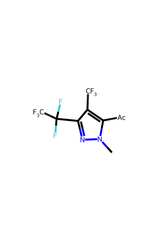 CC(=O)c1c(C(F)(F)F)c(C(F)(F)C(F)(F)F)nn1C